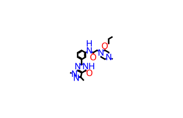 CCCOC1CN(C)CCN1CC(=O)Nc1cccc(-c2nc3c(c(C)nn3C)c(=O)[nH]2)c1